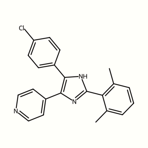 Cc1cccc(C)c1-c1nc(-c2ccncc2)c(-c2ccc(Cl)cc2)[nH]1